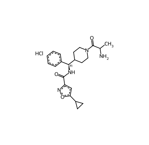 CC(N)C(=O)N1CCC([C@@H](NC(=O)c2cc(C3CC3)on2)c2ccccc2)CC1.Cl